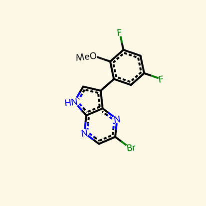 COc1c(F)cc(F)cc1-c1c[nH]c2ncc(Br)nc12